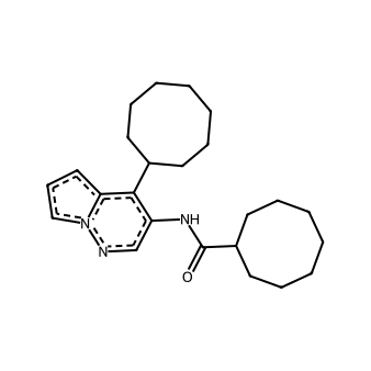 O=C(Nc1cnn2cccc2c1C1CCCCCCC1)C1CCCCCCC1